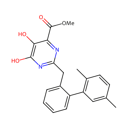 COC(=O)c1nc(Cc2ccccc2-c2cc(C)ccc2C)nc(O)c1O